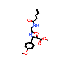 C=CCCC(=O)NCc1nc(-c2ccc(OC)cc2)c(C(=O)OC)o1